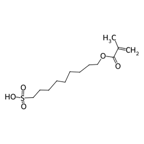 C=C(C)C(=O)OCCCCCCCCCS(=O)(=O)O